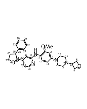 COc1cc(N2CCN(C3COC3)CC2)ccc1Nc1cc(N2OCCC2c2ccccc2)ncn1